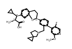 COc1cc(-c2ccc([C@@H]3CCc4ccc([C@H](C5CC5)[C@H](C)C(=O)O)cc4O3)cc2CN2CCC3(CC3)C2)c(F)cn1